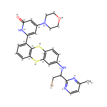 Cc1ccnc(C(CBr)Nc2ccc3c(c2)Sc2cccc(-c4cc(N5CCOCC5)cc(=O)[nH]4)c2S3)n1